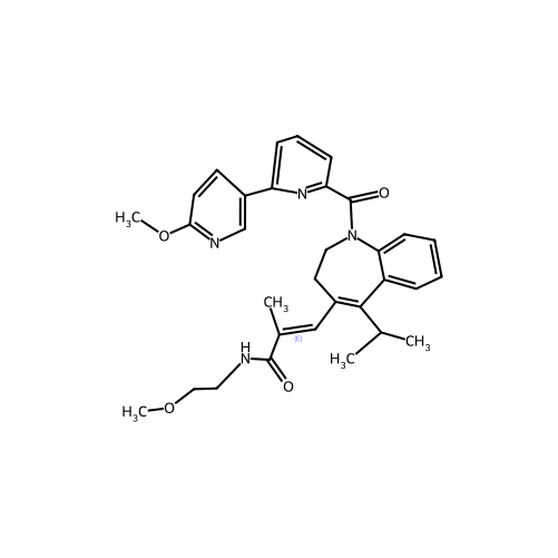 COCCNC(=O)/C(C)=C/C1=C(C(C)C)c2ccccc2N(C(=O)c2cccc(-c3ccc(OC)nc3)n2)CC1